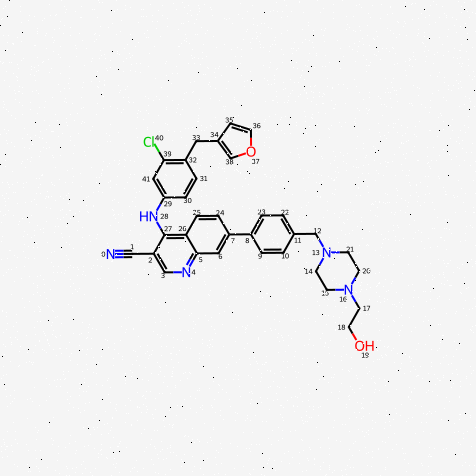 N#Cc1cnc2cc(-c3ccc(CN4CCN(CCO)CC4)cc3)ccc2c1Nc1ccc(Cc2ccoc2)c(Cl)c1